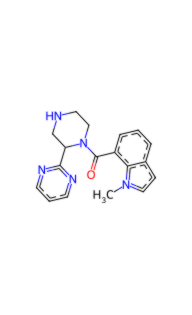 Cn1ccc2cccc(C(=O)N3CCNCC3c3ncccn3)c21